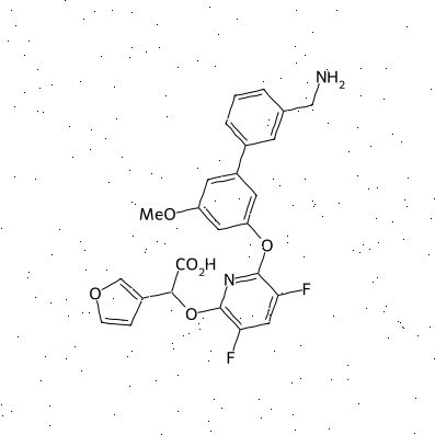 COc1cc(Oc2nc(OC(C(=O)O)c3ccoc3)c(F)cc2F)cc(-c2cccc(CN)c2)c1